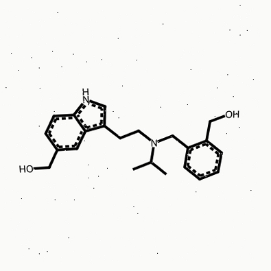 CC(C)N(CCc1c[nH]c2ccc(CO)cc12)Cc1ccccc1CO